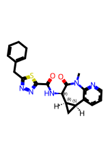 CN1C(=O)[C@H](NC(=O)c2nnc(CC3=CCCC=C3)s2)[C@@H]2C[C@@H]2c2cccnc21